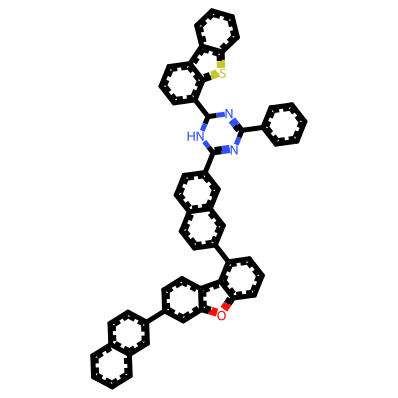 c1ccc(C2=NC(c3cccc4c3sc3ccccc34)NC(c3ccc4ccc(-c5cccc6oc7cc(-c8ccc9ccccc9c8)ccc7c56)cc4c3)=N2)cc1